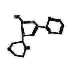 N#Cc1cc(-c2ncccn2)cc(C2COCCN2)c1